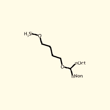 CCCCCCCCCC(CCCCCCCC)OCCCCO[SiH3]